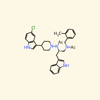 CC(=O)N(Cc1ccccc1C)C[C@@H](Cc1c[nH]c2ccccc12)N(C(C)=O)N1CCC(c2c[nH]c3ccc(Cl)cc23)CC1